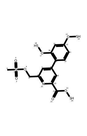 CS(=O)(=O)OCc1cc(-c2ccc(OS)cc2OS)cc(C(=O)OS)n1